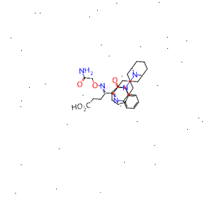 NC(=O)CO/N=C(\CCC(=O)O)c1nc2ccccc2n(C2CC3CCCC(C2)N3C2CC3CCCCC(C3)C2)c1=O